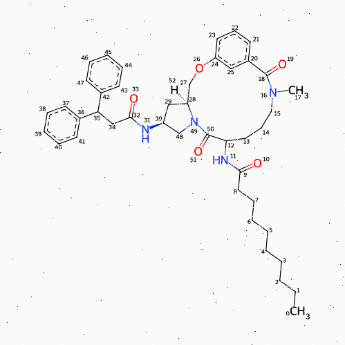 CCCCCCCCCC(=O)NC1CCCN(C)C(=O)c2cccc(c2)OC[C@@H]2C[C@H](NC(=O)CC(c3ccccc3)c3ccccc3)CN2C1=O